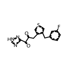 O=C(Cc1cscc1Cc1cccc(F)c1)C(=O)c1nc[nH]n1